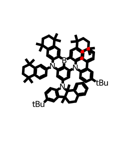 CC(C)(C)c1ccc(N2c3cc4c(cc3B3c5cc6c(cc5N(c5ccc7c(c5)C(C)(C)CCC7(C)C)c5cc(N7c8ccc(C(C)(C)C)cc8C8(C)CCc9ccccc9C78C)cc2c53)C(C)(C)CCC6(C)C)C(C)(C)CCC4(C)C)c(-c2ccccc2)c1